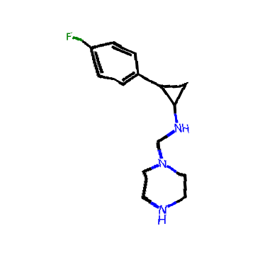 Fc1ccc(C2CC2NCN2CCNCC2)cc1